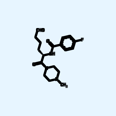 CN1CCN(C(=O)[C@H](CCCC=O)NC(=O)c2ccc(F)cc2)CC1